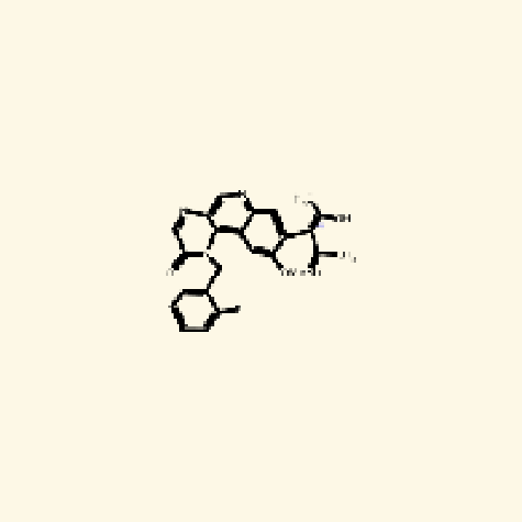 COc1cc2c(cc1/C(C(C)=N)=C(\C)O)ncc1ncc(=O)n(Cc3ccccc3F)c12